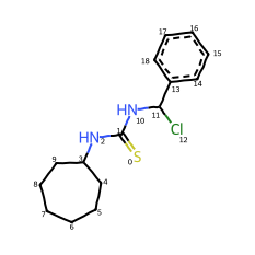 S=C(NC1CCCCCC1)NC(Cl)c1ccccc1